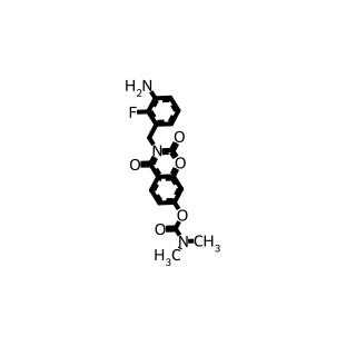 CN(C)C(=O)Oc1ccc2c(=O)n(Cc3cccc(N)c3F)c(=O)oc2c1